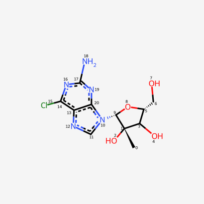 C[C@]1(O)C(O)[C@@H](CO)O[C@H]1n1cnc2c(Cl)nc(N)nc21